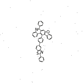 c1ccc(-c2nc3cc(-c4ccc(-c5c6c(cc7c(-c8ccccc8)nc8ccccc8c57)oc5ccccc56)cc4)ccc3s2)cc1